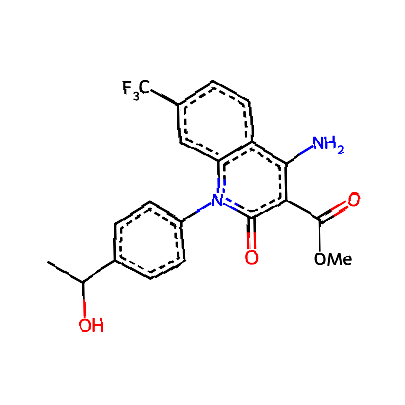 COC(=O)c1c(N)c2ccc(C(F)(F)F)cc2n(-c2ccc(C(C)O)cc2)c1=O